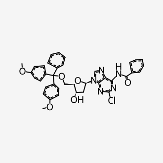 COc1ccc(C(OC[C@H]2O[C@@H](n3cnc4c(NC(=O)c5ccccc5)nc(Cl)nc43)C[C@@H]2O)(c2ccccc2)c2ccc(OC)cc2)cc1